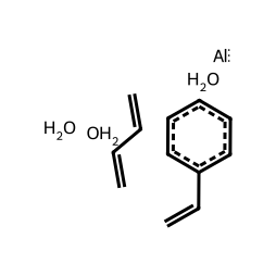 C=CC=C.C=Cc1ccccc1.O.O.O.[Al]